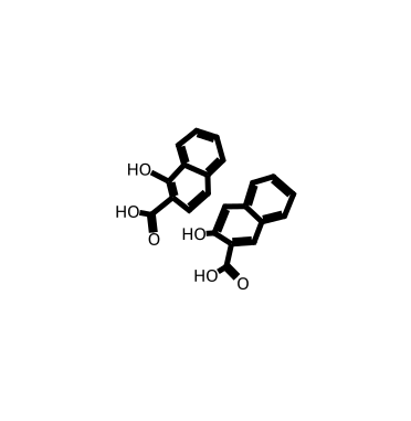 O=C(O)c1cc2ccccc2cc1O.O=C(O)c1ccc2ccccc2c1O